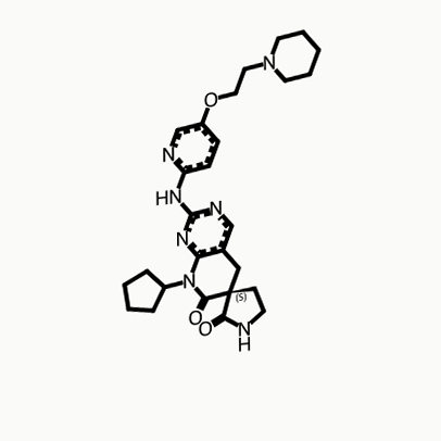 O=C1NCC[C@@]12Cc1cnc(Nc3ccc(OCCN4CCCCC4)cn3)nc1N(C1CCCC1)C2=O